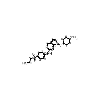 N[C@H]1CC[C@H](Cn2ncc3cnc(Nc4ccc(S(=O)(=O)CCO)cc4)nc32)CC1